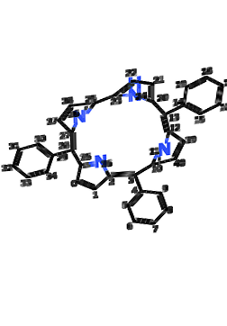 C1=CC2=C(c3ccccc3)C3=NC(=C(c4ccccc4)c4ccc([nH]4)C4=NC(=C(c5ccccc5)C1=N2)C=C4)C=C3